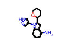 Nc1cccc2c1cc(C1CCCCO1)n2-c1cn[nH]c1